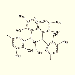 Cc1cc([CH](c2cc(C)cc(C(C)(C)C)c2O)[Al]([CH2]C(C)C)[CH](c2cc(C)cc(C(C)(C)C)c2O)c2cc(C)cc(C(C)(C)C)c2O)c(O)c(C(C)(C)C)c1